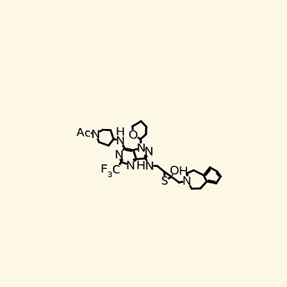 CC(=O)N1CCC(Nc2nc(C(F)(F)F)nc3c(NCC4S[C@]4(O)CN4CCc5ccccc5CC4)nn(C4CCCCO4)c23)CC1